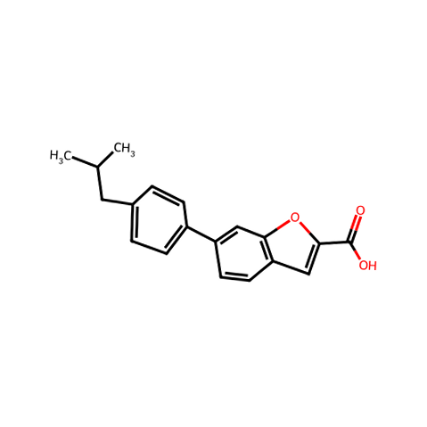 CC(C)Cc1ccc(-c2ccc3cc(C(=O)O)oc3c2)cc1